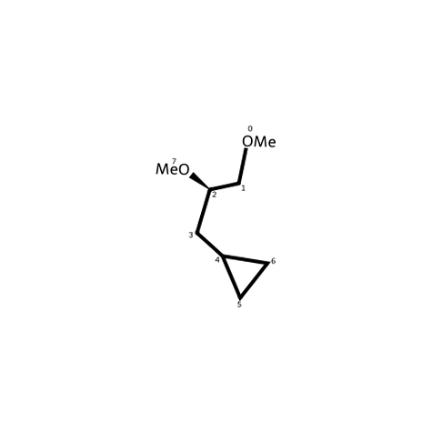 COC[C@@H](CC1CC1)OC